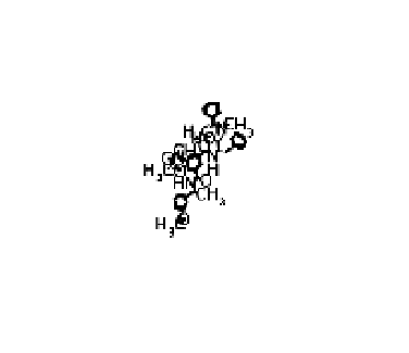 COc1cccc([C@@H](C)NC(=O)c2cc(C(=O)N[C@@H](Cc3ccccc3)[C@H](O)CN(C)[C@@H](C)c3ccccc3)cc(N(C)S(C)(=O)=O)c2)c1